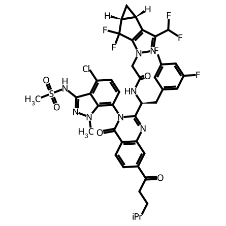 CC(C)CCC(=O)c1ccc2c(=O)n(-c3ccc(Cl)c4c(NS(C)(=O)=O)nn(C)c34)c([C@H](Cc3cc(F)cc(F)c3)NC(=O)Cn3nc(C(F)F)c4c3C(F)(F)[C@@H]3C[C@H]43)nc2c1